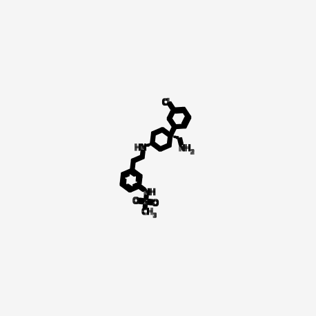 CS(=O)(=O)Nc1cccc(CCN[C@H]2CC[C@](CN)(C3C=CC=C(Cl)C3)CC2)c1